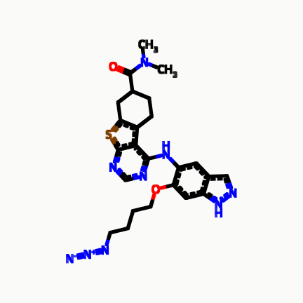 CN(C)C(=O)C1CCc2c(sc3ncnc(Nc4cc5cn[nH]c5cc4OCCCCN=[N+]=[N-])c23)C1